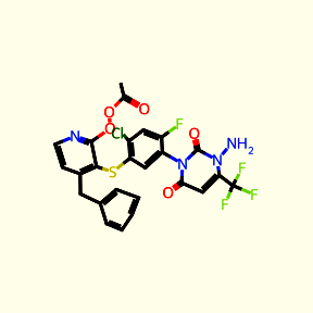 CC(=O)OOc1nccc(Cc2ccccc2)c1Sc1cc(-n2c(=O)cc(C(F)(F)F)n(N)c2=O)c(F)cc1Cl